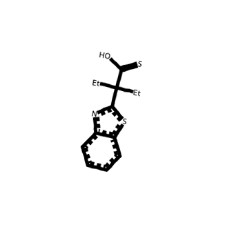 CCC(CC)(C(O)=S)c1nc2ccccc2s1